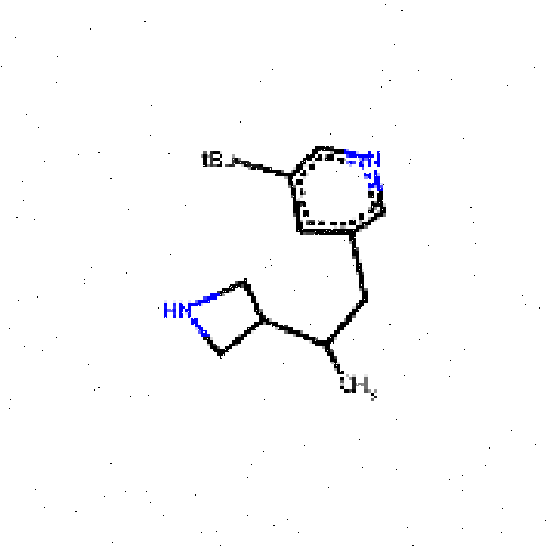 CC(Cc1cncc(C(C)(C)C)c1)C1CNC1